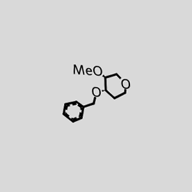 CO[C@H]1COCC[C@@H]1OCc1ccccc1